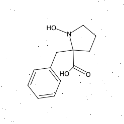 O=C(O)C1(Cc2ccccc2)CCCN1O